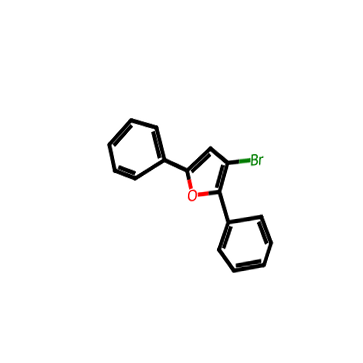 Brc1cc(-c2ccccc2)oc1-c1ccccc1